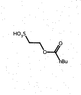 CCCCC(=O)OCCS(=O)(=O)O